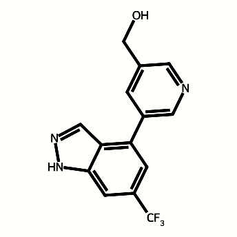 OCc1cncc(-c2cc(C(F)(F)F)cc3[nH]ncc23)c1